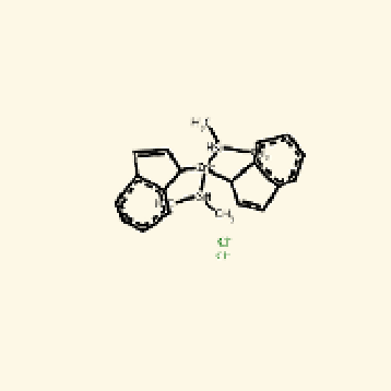 C[SiH](C)[Zr+2]([CH]1C=Cc2ccccc21)([CH]1C=Cc2ccccc21)[SiH](C)C.[Cl-].[Cl-]